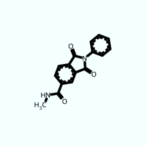 CNC(=O)c1ccc2c(c1)C(=O)N(c1ccccc1)C2=O